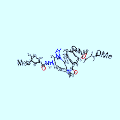 COCCCOc1cc(C(=O)N(C(C)C)C2CNC[C@@H](CNC(=O)c3cccc(OC)c3)C2)ccc1OC